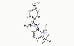 C/C=C1/C(C(C)(C)C)=CC=CN1/C=C(\N)c1ccc(OC)cc1